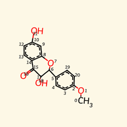 COc1ccc(C2Oc3cc(O)ccc3C(=O)C2O)cc1